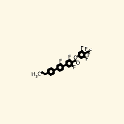 CCCc1ccc(-c2ccc(-c3cc(F)c(C(=O)Oc4cc(F)c(C(F)(F)F)c(F)c4)c(F)c3)c(F)c2)cc1